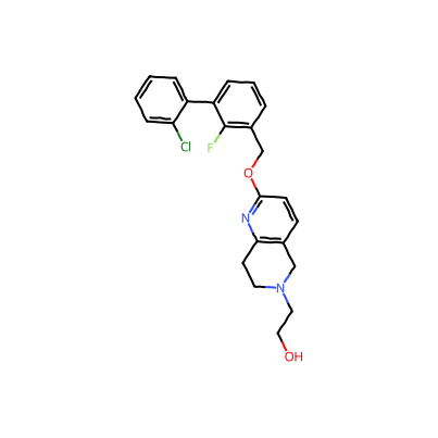 OCCN1CCc2nc(OCc3cccc(-c4ccccc4Cl)c3F)ccc2C1